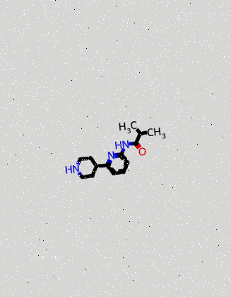 CC(C)C(=O)Nc1cccc(C2CCNCC2)n1